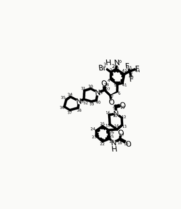 Nc1c(Br)cc(C[C@@H](OC(=O)N2CCC3(CC2)OC(=O)Nc2ccccc23)C(=O)N2CCC(N3CCCCC3)CC2)cc1C(F)(F)F